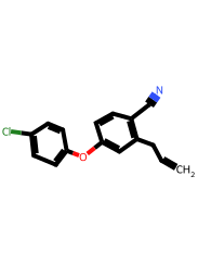 C=CCc1cc(Oc2ccc(Cl)cc2)ccc1C#N